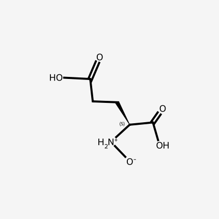 O=C(O)CC[C@H]([NH2+][O-])C(=O)O